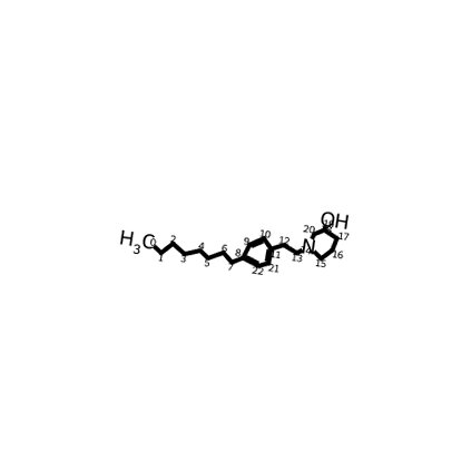 CCCCCCCCc1ccc(CCN2CCCC(O)C2)cc1